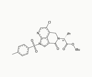 Cc1ccc(S(=O)(=O)n2cc3c4c(c(Cl)cnc42)CN([C@@H](C(=O)OC(C)(C)C)C(C)C)C3=O)cc1